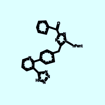 CCCCCn1nc(C(=O)c2ccccc2)nc1Cc1ccc(-c2ncccc2-c2nnn[nH]2)cc1